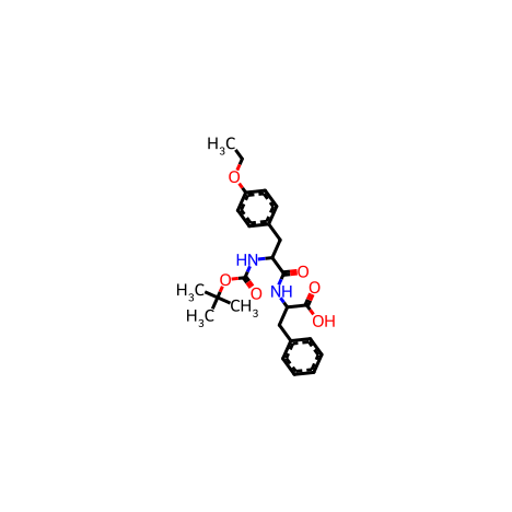 CCOc1ccc(CC(NC(=O)OC(C)(C)C)C(=O)NC(Cc2ccccc2)C(=O)O)cc1